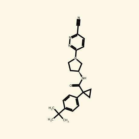 CC(C)(C)c1ccc(C2(C(=O)N[C@H]3CCN(c4ccc(C#N)nn4)C3)CC2)cc1